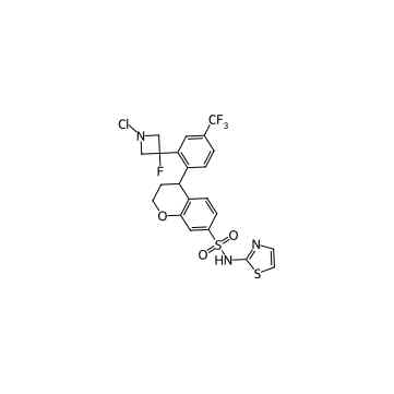 O=S(=O)(Nc1nccs1)c1ccc2c(c1)OCCC2c1ccc(C(F)(F)F)cc1C1(F)CN(Cl)C1